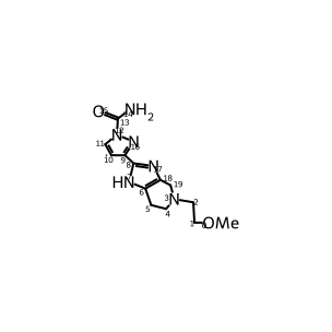 COCCN1CCc2[nH]c(-c3[c]cn(C(N)=O)n3)nc2C1